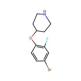 Fc1cc(Br)ccc1OC1CCNCC1